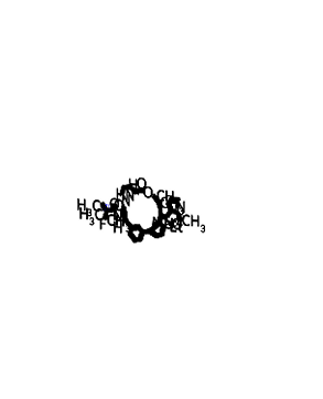 C/C=C(/C(=O)N[C@H]1Cc2cccc(c2)-c2ccc3c(c2)c(c(-c2cccnc2[C@H](C)OC)n3CC)CC(C)(C)COC(=O)[C@@H]2CCCN(N2)C1=O)C(C)(C)F